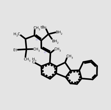 BC(B)(C(/C=C(\C)c1c(C)ccc2c1C(C)c1c-2ccc2c1C=C=CC=C2)=C(\C)C(C)C(C)(C)CC)C(C)(C)C